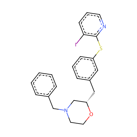 Ic1cccnc1Sc1cccc(C[C@H]2CN(Cc3ccccc3)CCO2)c1